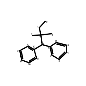 [CH2]CC(C)(C)C(c1ccccc1)c1ccccc1